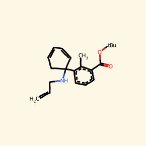 C=CCNC1(c2cccc(C(=O)OC(C)(C)C)c2C)C=CC=CC1